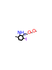 COCOCCc1c(I)ccc(C)c1N